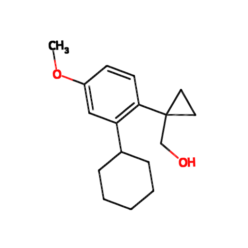 COc1ccc(C2(CO)CC2)c(C2CCCCC2)c1